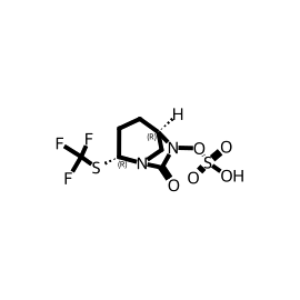 O=C1N2C[C@@H](CC[C@H]2SC(F)(F)F)N1OS(=O)(=O)O